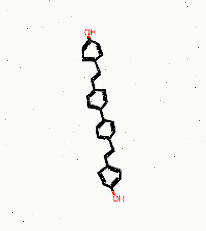 Oc1ccc(/C=C/c2ccc(-c3ccc(/C=C/c4ccc(O)cc4)cc3)cc2)cc1